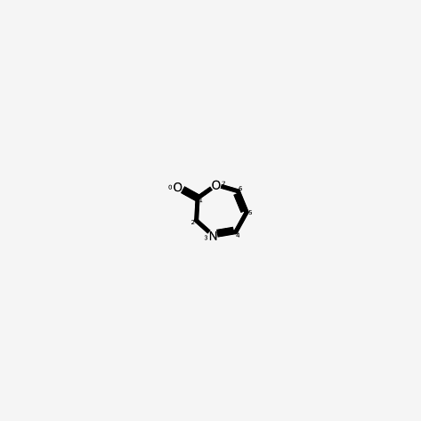 O=C1CN=CC=CO1